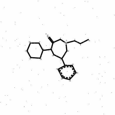 CCCN1CC(=S)C(C2CCCCC2)CC(c2ccccc2)C1